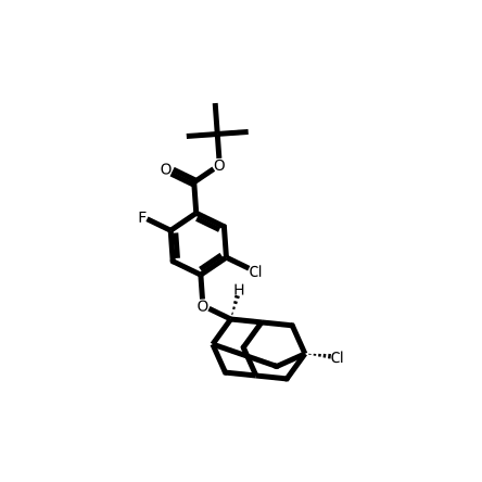 CC(C)(C)OC(=O)c1cc(Cl)c(O[C@H]2C3CC4CC2C[C@](Cl)(C4)C3)cc1F